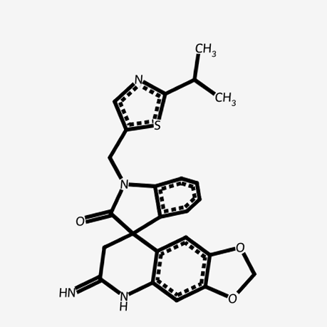 CC(C)c1ncc(CN2C(=O)C3(CC(=N)Nc4cc5c(cc43)OCO5)c3ccccc32)s1